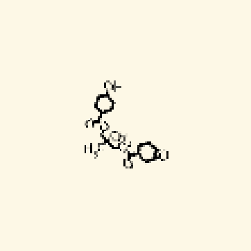 CC(C)(COC(=O)C1CCC(O)CC1)COC(=O)C1CCC2OC2C1